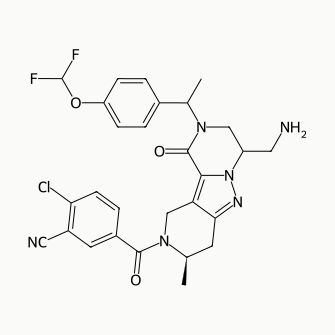 CC(c1ccc(OC(F)F)cc1)N1CC(CN)n2nc3c(c2C1=O)CN(C(=O)c1ccc(Cl)c(C#N)c1)[C@H](C)C3